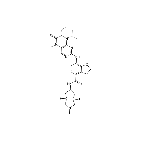 CC[C@@H]1C(=O)N(C)c2cnc(Nc3ccc(C(=O)NC4C[C@@H]5CN(C)C[C@@H]5C4)c4c3OCC4)nc2N1C(C)C